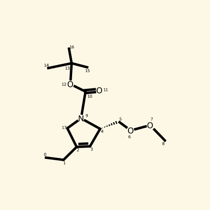 CCC1=C[C@@H](COOC)N(C(=O)OC(C)(C)C)C1